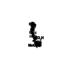 COc1c(C)c2c(c(O)c1C/C=C(\C)C(CC(=O)O)CC(=O)NCCNC(=O)c1ccc(C(=O)ON3C(=O)CCC3=O)cc1)C(=O)OC2